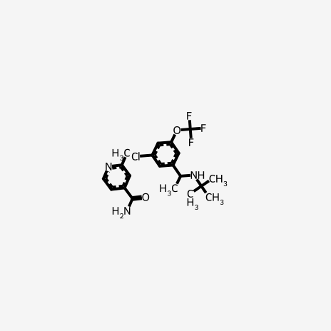 CC(NC(C)(C)C)c1cc(Cl)cc(OC(F)(F)F)c1.Cc1cc(C(N)=O)ccn1